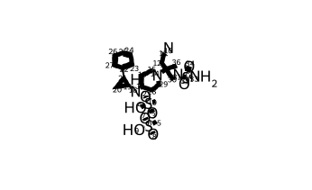 CS(=O)(=O)O.CS(=O)(=O)O.N#CCC1(N2CCC(N[C@@H]3C[C@H]3c3ccccc3)CC2)CN(S(N)(=O)=O)C1